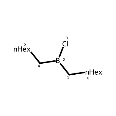 CCCCCCCB(Cl)CCCCCCC